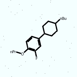 CCCCC1CCC(c2ccc(OCCC)c(F)c2)CC1